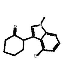 Cn1cc(C2CCCCC2=O)c2c(Cl)cccc21